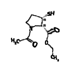 CCOC(=O)[C@H]1[C@@H](S)CCN1C(C)=O